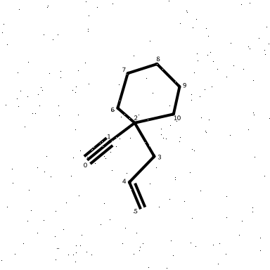 C#CC1(CC=C)CCCCC1